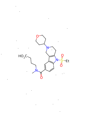 CCS(=O)(=O)n1c2c(c3cc(C(=O)N(C)CCCC(=O)O)ccc31)CN(C1CCOCC1)CC2